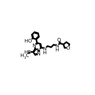 CBc1cnn2c(NCCCNC(=O)C3CCOC3)cc(-c3ccccc3O)nc12